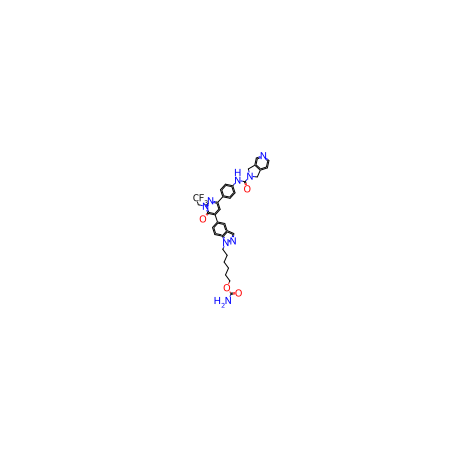 NC(=O)OCCCCCCn1ncc2cc(-c3cc(-c4ccc(NC(=O)N5Cc6ccncc6C5)cc4)nn(CC(F)(F)F)c3=O)ccc21